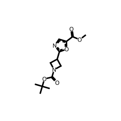 COC(=O)c1cnc(C2CN(C(=O)OC(C)(C)C)C2)o1